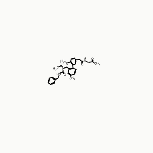 CCN(Cc1cc(C)ccc1-c1cc(CC(=O)NCC(C)=O)ccc1OC)C(=O)NCc1ccccc1